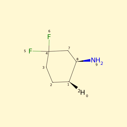 [2H][C@H]1CCC(F)(F)C[C@H]1N